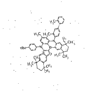 Cc1cc2c3c(c1)N(c1ccc(C(C)(C)C)cc1)c1c(oc4cc5c(cc14)C(C)(C)CCC5(C)C)B3c1cc3c(cc1N2c1ccc(-c2ccccc2C)cc1C)C(C)(C)CCC3(C)C